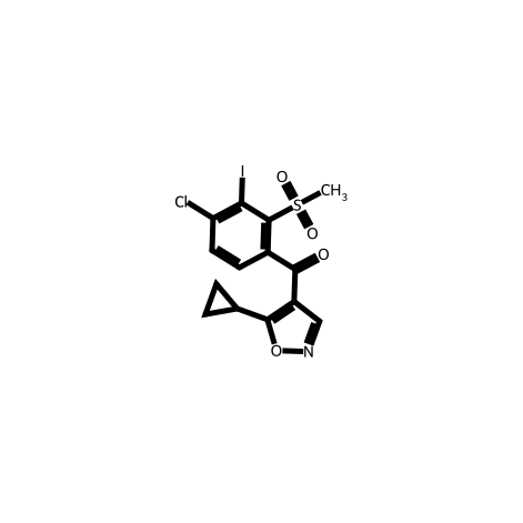 CS(=O)(=O)c1c(C(=O)c2cnoc2C2CC2)ccc(Cl)c1I